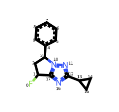 FC1CC(c2ccccc2)n2nc(C3CC3)nc21